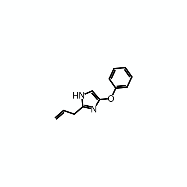 C=CCc1nc(Oc2ccccc2)c[nH]1